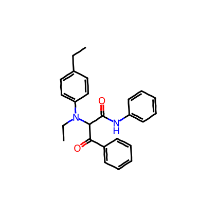 CCc1ccc(N(CC)C(C(=O)Nc2ccccc2)C(=O)c2ccccc2)cc1